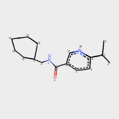 CC(C)c1ccc(C(=O)NCC2CCCCC2)cn1